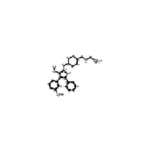 CCSc1c(-c2cccc(OC)c2)c(-c2ccccc2)nn1CC1CCC(COCC(=O)O)CC1